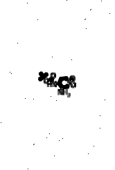 CC(C)(C)OC(=O)N[C@H]1CCS(=O)(=O)C[C@H]1N